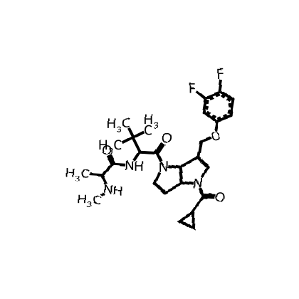 CNC(C)C(=O)NC(C(=O)N1CCC2C1C(COc1ccc(F)c(F)c1)CN2C(=O)C1CC1)C(C)(C)C